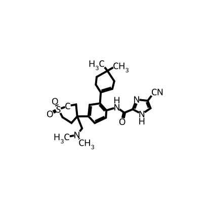 CN(C)CC1(c2ccc(NC(=O)c3nc(C#N)c[nH]3)c(C3=CCC(C)(C)CC3)c2)CCS(=O)(=O)CC1